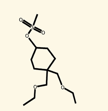 CCOCC1(COCC)CCC(OS(C)(=O)=O)CC1